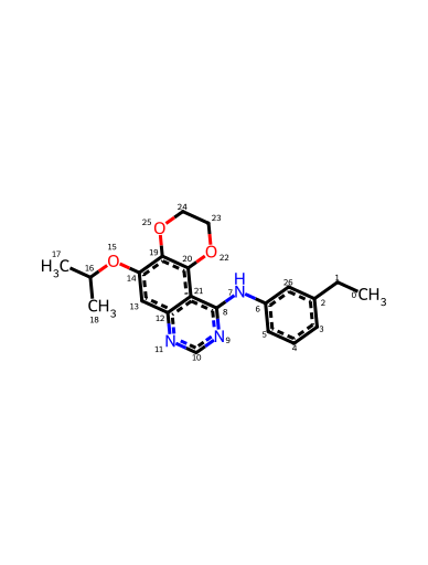 CCc1cccc(Nc2ncnc3cc(OC(C)C)c4c(c23)OCCO4)c1